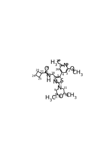 COc1cc(-c2sc(N3C[C@@H](C)O[C@@H](C)C3)nc2CNC(=O)C2CCC2)cc(C)n1